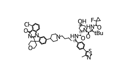 Cc1ncsc1-c1ccc([C@H](CCCCN2CCC(c3ccc4c(c3)-n3c(nc(=O)c5c(Cl)cccc53)C43CCOCC3)CC2)NC(=O)[C@@H]2C[C@@H](O)CN2C(=O)[C@@H](NC(=O)C2(F)CC2)C(C)(C)C)cc1